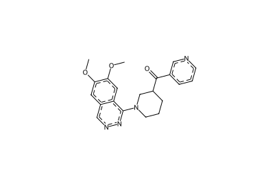 COc1cc2cnnc(N3CCCC(C(=O)c4cccnc4)C3)c2cc1OC